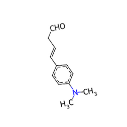 CN(C)c1ccc(/C=C/CC=O)cc1